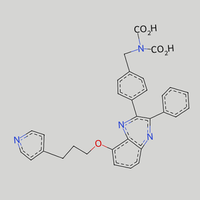 O=C(O)N(Cc1ccc(-c2nc3c(OCCCc4ccncc4)cccc3nc2-c2ccccc2)cc1)C(=O)O